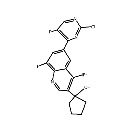 CC(C)c1c(C2(O)CCCC2)cnc2c(F)cc(-c3nc(Cl)ncc3F)cc12